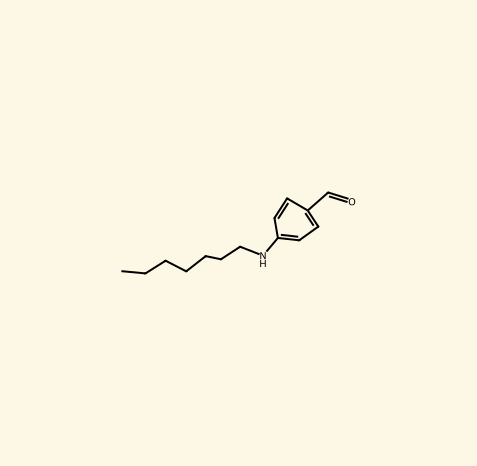 CCCCCCCNc1ccc(C=O)cc1